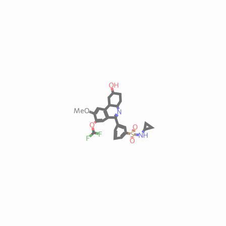 COc1cc2c(cc1OC(F)F)C(c1cccc(S(=O)(=O)NC3CC3)c1)=NC1CCC(O)CC21